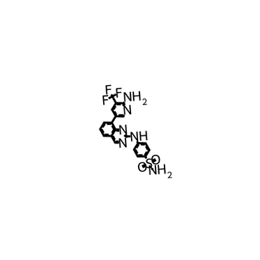 Nc1ncc(-c2cccc3cnc(Nc4ccc(S(N)(=O)=O)cc4)nc23)cc1C(F)(F)F